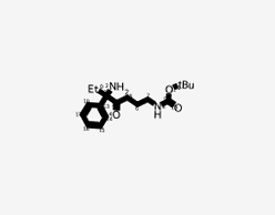 [CH2]CC(N)(C(=O)CCCNC(=O)OC(C)(C)C)c1ccccc1